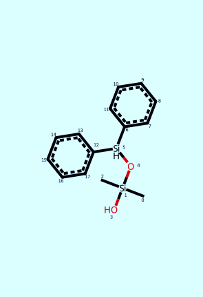 C[Si](C)(O)O[SiH](c1ccccc1)c1ccccc1